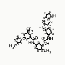 Cc1cn(-c2cc(C(=O)Nc3ccc(C)c(NC(=O)Nc4ccc5c(c4)NC(=O)/C5=C\c4ccc[nH]4)c3)cc(C(F)(F)F)c2)cn1